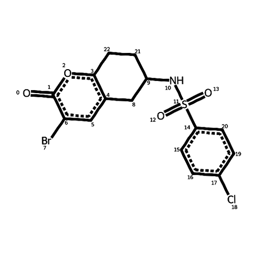 O=c1oc2c(cc1Br)CC(NS(=O)(=O)c1ccc(Cl)cc1)CC2